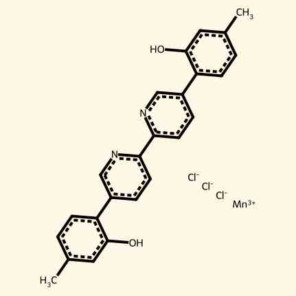 Cc1ccc(-c2ccc(-c3ccc(-c4ccc(C)cc4O)cn3)nc2)c(O)c1.[Cl-].[Cl-].[Cl-].[Mn+3]